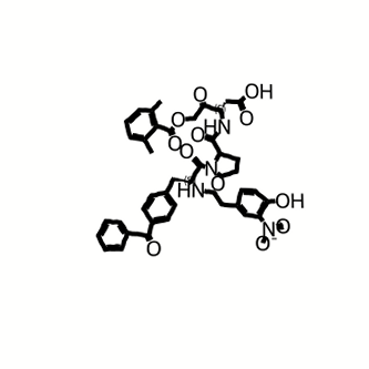 Cc1cccc(C)c1C(=O)OCC(=O)[C@H](CC(=O)O)NC(=O)C1CCCN1C(=O)[C@H](Cc1ccc(C(=O)c2ccccc2)cc1)NC(=O)Cc1ccc(O)c([N+](=O)[O-])c1